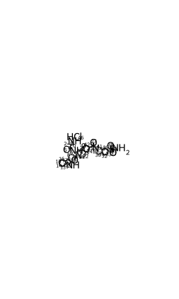 CC(C)(N)C(=O)NC(Cc1c[nH]c2ccccc12)C(=O)N1CCc2cc(C(=O)N3CCc4ccc(S(N)(=O)=O)cc4C3)ccc2C1.Cl